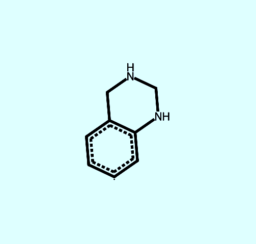 [c]1ccc2c(c1)NCNC2